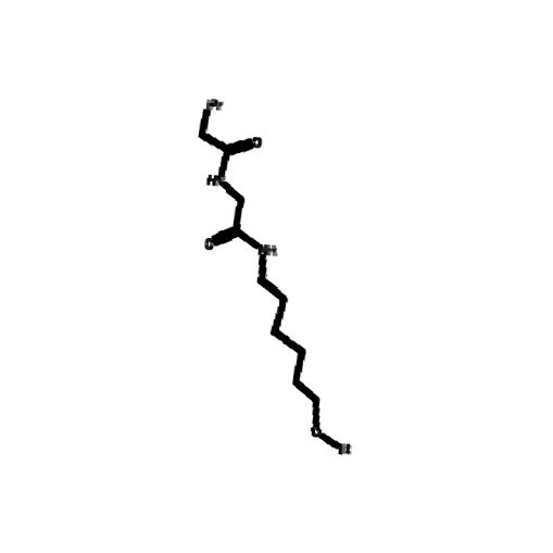 CCOCCCCCCNC(=O)CNC(=O)CC(C)C